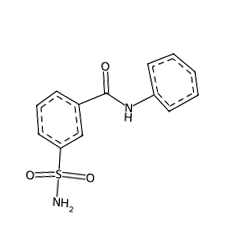 NS(=O)(=O)c1cccc(C(=O)Nc2ccccc2)c1